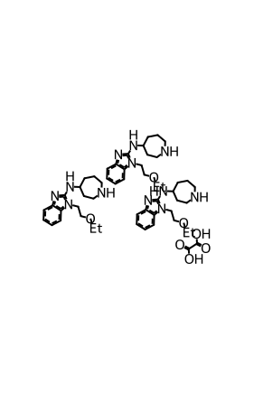 CCOCCn1c(NC2CCCNCC2)nc2ccccc21.CCOCCn1c(NC2CCCNCC2)nc2ccccc21.CCOCCn1c(NC2CCCNCC2)nc2ccccc21.O=C(O)C(=O)O